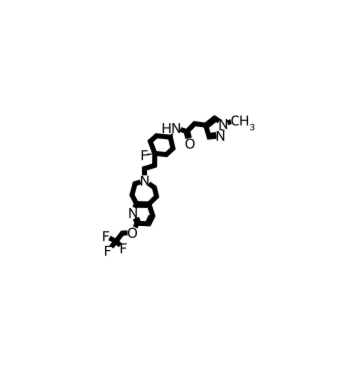 Cn1cc(CC(=O)N[C@H]2CC[C@](F)(CCN3CCc4ccc(OCC(F)(F)F)nc4CC3)CC2)cn1